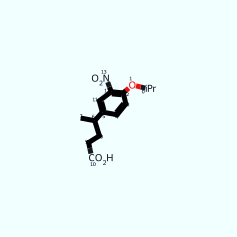 CC(C)Oc1ccc(C(C)CCC(=O)O)cc1[N+](=O)[O-]